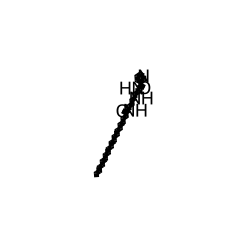 CCC=CCC=CCC=CCC=CCC=CCC=CCCC(=O)NCCCNCCNC(=O)c1cccnc1